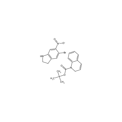 CC(C)(C)OC(=O)N1CC=Cc2ccccc21.O=[N+]([O-])c1cc2c(cc1Br)CCN2